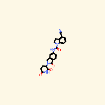 N#Cc1cccc2c1CCN2C(=O)Nc1ccc2c(c1)CN(C1CCC(=O)NC1=O)C2=O